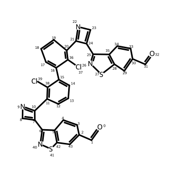 O=Cc1ccc2c(C3=CN=C3c3cccc(-c4cccc(C5=NC=C5c5nsc6cc(C=O)ccc56)c4Cl)c3Cl)nsc2c1